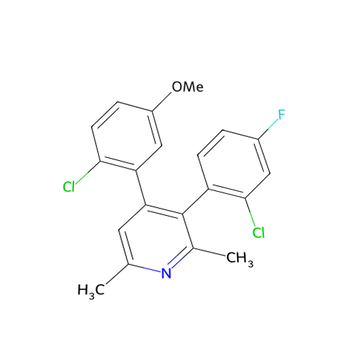 COc1ccc(Cl)c(-c2cc(C)nc(C)c2-c2ccc(F)cc2Cl)c1